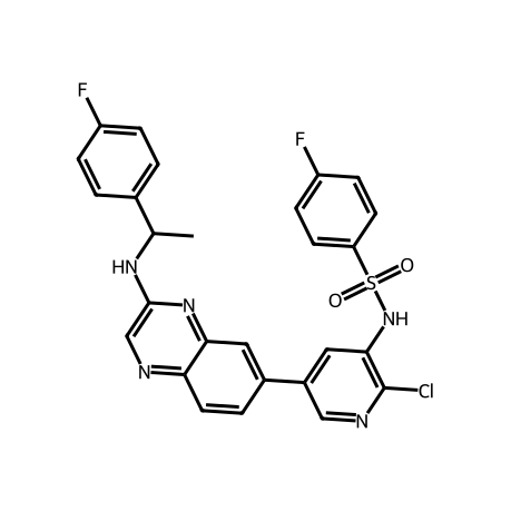 CC(Nc1cnc2ccc(-c3cnc(Cl)c(NS(=O)(=O)c4ccc(F)cc4)c3)cc2n1)c1ccc(F)cc1